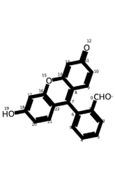 O=[C]c1ccccc1-c1c2ccc(=O)cc-2oc2cc(O)ccc12